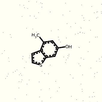 Cc1cc(O)cc2sccc12